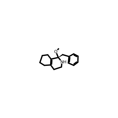 CO[C@]1(Cc2ccccc2)NCCC2=C1CCCC2